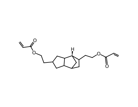 C=CC(=O)OCCC1CC2C3CC(CCOC(=O)C=C)[C@H](C3)C2C1